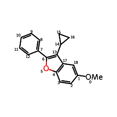 COc1ccc2oc(-c3ccccc3)c(C3CC3)c2c1